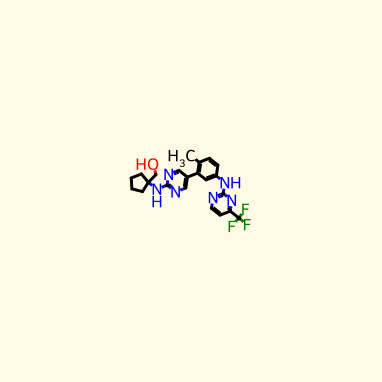 Cc1ccc(Nc2nccc(C(F)(F)F)n2)cc1-c1cnc(NC2(CO)CCCC2)nc1